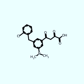 CN(C)c1cc(Cc2ccccc2Cl)cc(C(=O)CC(=O)C(=O)O)c1